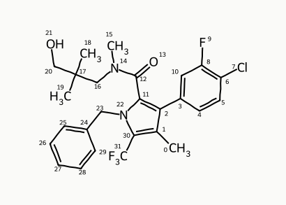 Cc1c(-c2ccc(Cl)c(F)c2)c(C(=O)N(C)CC(C)(C)CO)n(Cc2ccccc2)c1C(F)(F)F